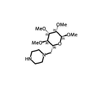 CO[C@H]1O[C@H](CN2CCNCC2)[C@@H](OC)[C@H](OC)[C@@H]1OC